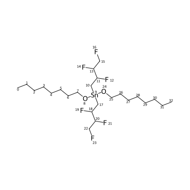 CCCCCCCC[O][Sn]([CH2]C(F)C(F)CF)([CH2]C(F)C(F)CF)[O]CCCCCCCC